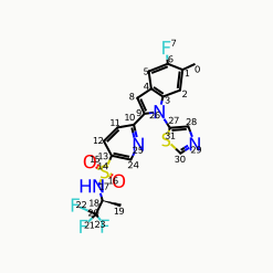 Cc1cc2c(cc1F)cc(-c1ccc(S(=O)(=O)N[C@@H](C)C(F)(F)F)cn1)n2-c1cncs1